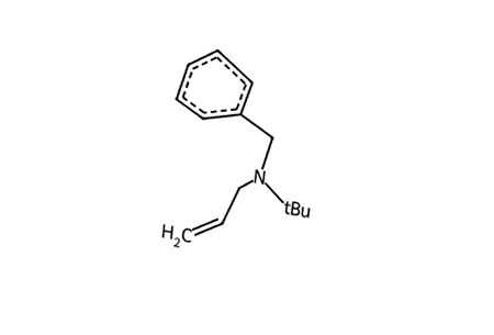 C=CCN(Cc1ccccc1)C(C)(C)C